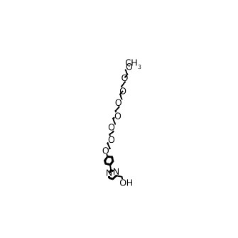 COCCOCCOCCOCCOCCOCCOCCOc1ccc(-c2nccc(CO)n2)cc1